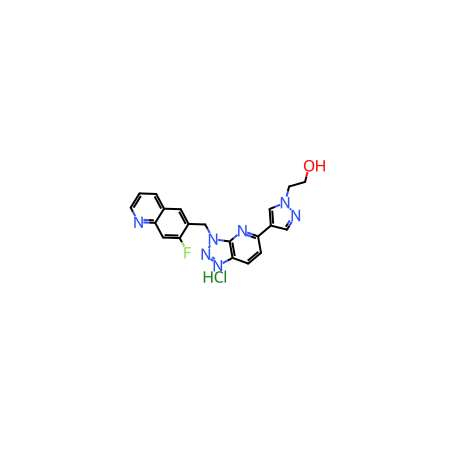 Cl.OCCn1cc(-c2ccc3nnn(Cc4cc5cccnc5cc4F)c3n2)cn1